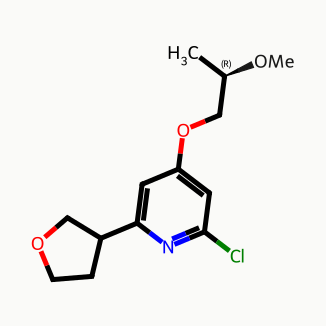 CO[C@H](C)COc1cc(Cl)nc(C2CCOC2)c1